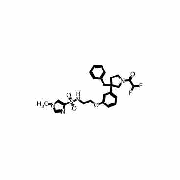 Cn1cnc(S(=O)(=O)NCCOc2cccc(C3(Cc4ccccc4)CCN(C(=O)C(F)F)C3)c2)c1